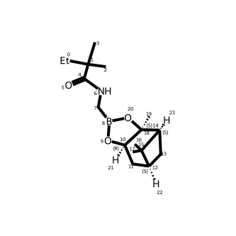 CCC(C)(C)C(=O)NCB1O[C@@H]2C[C@@H]3C[C@@H](C3(C)C)[C@]2(C)O1